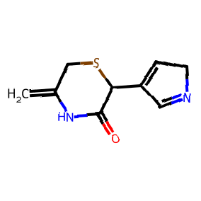 C=C1CSC(C2=CCN=C2)C(=O)N1